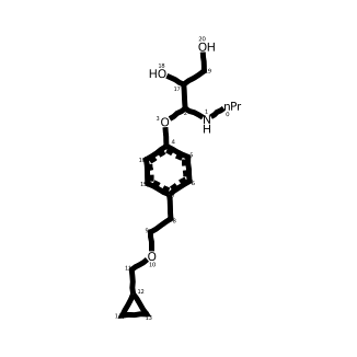 CCCNC(Oc1ccc(CCOCC2CC2)cc1)C(O)CO